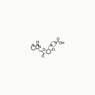 COc1ccc2c(c1CN1CCN(C(=O)O)CC1)OC(=Cc1n[nH]c3ncccc13)C2=O